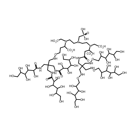 O=C(O)CN(CCN(CCN(CC(=O)O)C(CC(=O)NCC(CNOCC(O)C(O)C(O)C(O)CO)(CNOCC(O)C(O)C(O)C(O)CO)CNOCC(O)C(O)C(O)C(O)CO)C(=O)O)CP(=O)(O)O)C(CCONCC(CNC(=O)C(O)C(O)C(O)C(O)CO)(CNC(=O)C(O)C(O)C(O)C(O)CO)CNC(=O)C(O)C(O)C(O)C(O)CO)C(=O)O